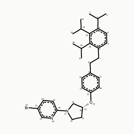 CC(C)c1ccc(CCc2ccc(O[C@@H]3CCN(c4ccc(Br)cn4)C3)cc2)c(C(C)C)c1C(C)C